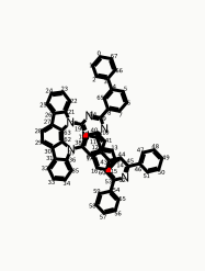 c1ccc(-c2cccc(-c3nc(-c4ccccc4)nc(-n4c5ccccc5c5ccc6c7ccccc7n(-c7cccc(-c8cc(-c9ccccc9)nc(-c9ccccc9)c8)c7)c6c54)n3)c2)cc1